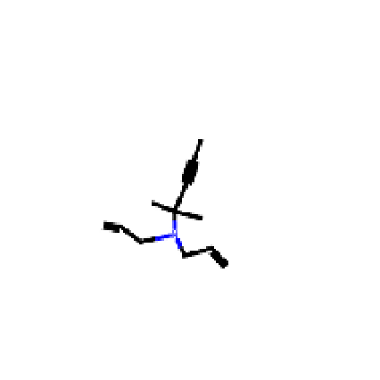 C=CCN(CC=C)C(C)(C)C#CC